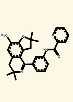 COc1cc2c(c3c1OC(C)(C)C3)C(c1cccc(NC(=O)c3ccccn3)c1)=NC(C)(C)C2